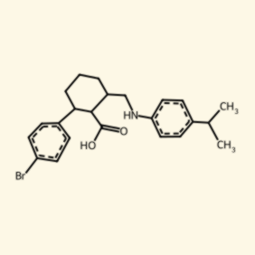 CC(C)c1ccc(NCC2CCCC(c3ccc(Br)cc3)C2C(=O)O)cc1